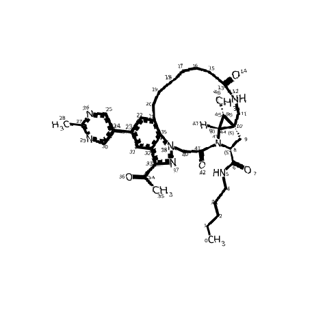 CCCCCNC(=O)[C@@H]1C[C@]23CNC(=O)CCCCCCc4cc(-c5cnc(C)nc5)cc5c(C(C)=O)nn(c45)CC(=O)N1[C@@H]2[C@@H]3C